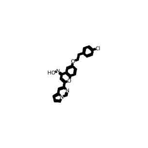 O/N=c1\cc(-c2cc3cccn3cn2)oc2ccc(OCCc3ccc(Cl)cc3)cc12